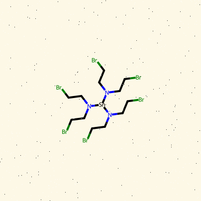 BrCC[N](CCBr)[Sn]([N](CCBr)CCBr)[N](CCBr)CCBr